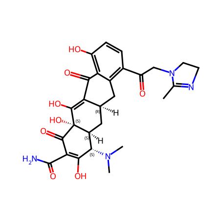 CC1=NCCN1CC(=O)c1ccc(O)c2c1C[C@H]1C[C@H]3[C@H](N(C)C)C(O)=C(C(N)=O)C(=O)[C@@]3(O)C(O)=C1C2=O